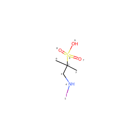 CC(C)(CNI)S(=O)(=O)O